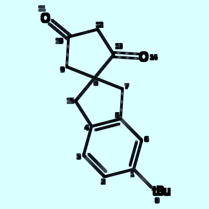 CC(C)(C)c1ccc2c(c1)CC1(CC(=O)CC1=O)C2